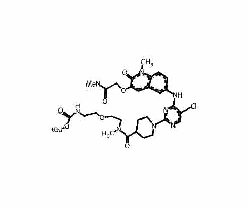 CNC(=O)COc1cc2cc(Nc3nc(N4CCC(C(=O)N(C)CCOCCNC(=O)OC(C)(C)C)CC4)ncc3Cl)ccc2n(C)c1=O